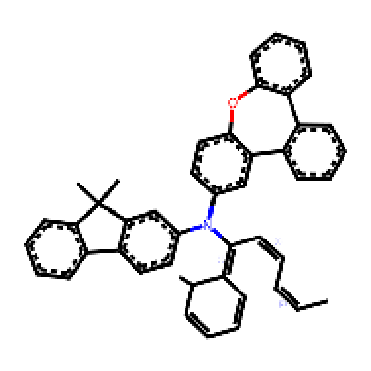 C\C=C/C=C\C(=C1/C=CC=CC1C)N(c1ccc2c(c1)-c1ccccc1-c1ccccc1O2)c1ccc2c(c1)C(C)(C)c1ccccc1-2